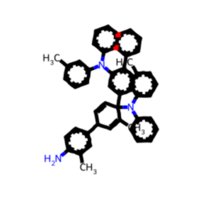 CC1=CC(c2ccc(N)c(C)c2)C=CC1(c1ccc(-c2ccccc2)c(N(c2ccccc2)c2cccc(C)c2)c1)N(c1ccccc1)c1cccc(C)c1